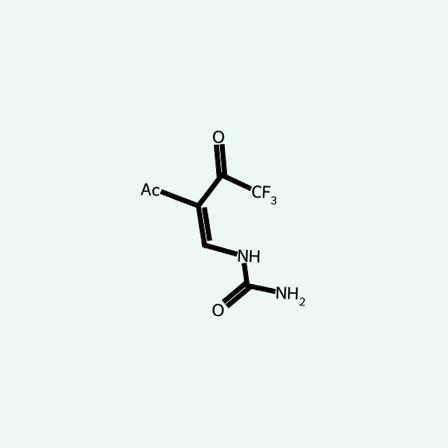 CC(=O)C(=CNC(N)=O)C(=O)C(F)(F)F